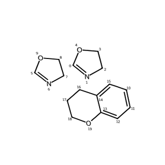 C1=NCCO1.C1=NCCO1.c1ccc2c(c1)CCCO2